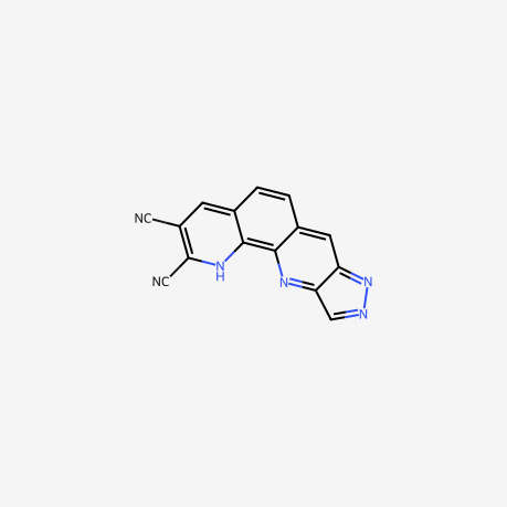 N#Cc1cc2ccc3cc4nncc4nc3c2[nH]c1C#N